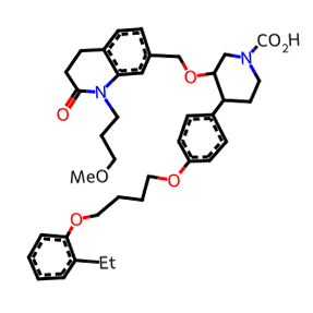 CCc1ccccc1OCCCCOc1ccc(C2CCN(C(=O)O)CC2OCc2ccc3c(c2)N(CCCOC)C(=O)CC3)cc1